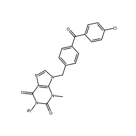 CC(C)n1c(=O)c2ncn(Cc3ccc(C(=O)c4ccc(Cl)cc4)cc3)c2n(C)c1=O